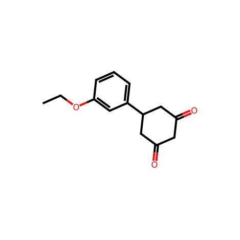 CCOc1cccc(C2CC(=O)CC(=O)C2)c1